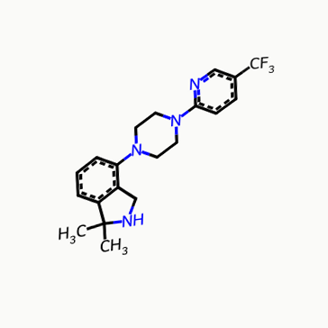 CC1(C)NCc2c(N3CCN(c4ccc(C(F)(F)F)cn4)CC3)cccc21